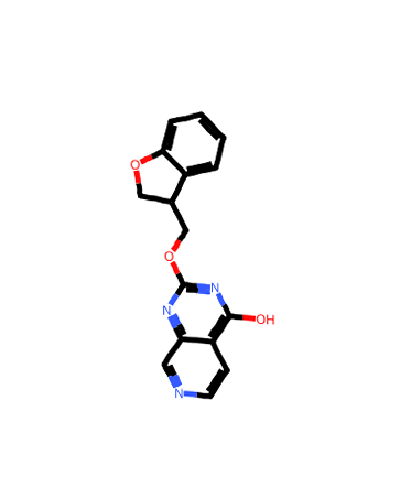 Oc1nc(OCC2COc3ccccc32)nc2cnccc12